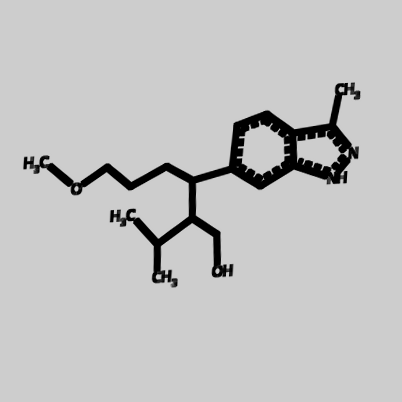 COCCCC(c1ccc2c(C)n[nH]c2c1)C(CO)C(C)C